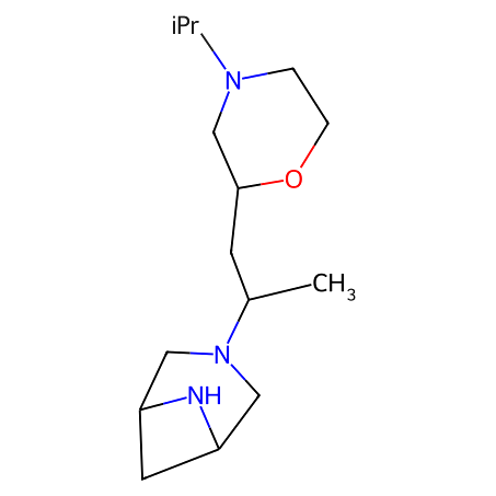 CC(C)N1CCOC(CC(C)N2CC3CC(C2)N3)C1